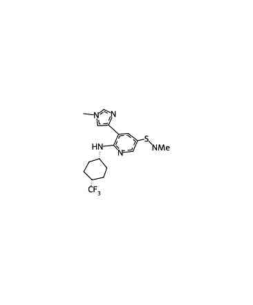 CNSc1cnc(N[C@H]2CC[C@@H](C(F)(F)F)CC2)c(-c2cn(C)cn2)c1